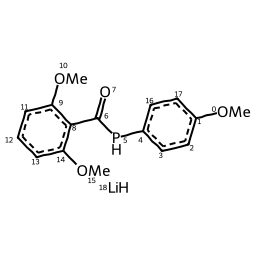 COc1ccc(PC(=O)c2c(OC)cccc2OC)cc1.[LiH]